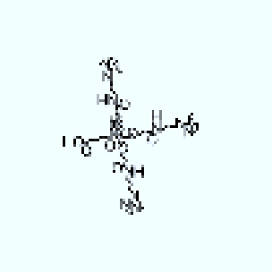 CN1CCN(C)C1=NCCCNC(=O)CCOCC(COCCC(=O)NCCCN=C1N(C)CCN1C)(COCCC(=O)NCCCN=C1N(C)CCN1C)NC(=O)CCCC(=O)O